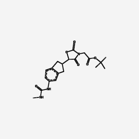 CNC(=O)Nc1ccc2c(c1)CC(C1OC(=O)N(CC(=O)OC(C)(C)C)C1=O)C2